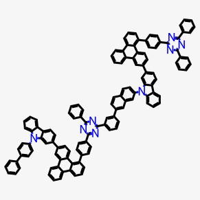 c1ccc(-c2ccc(-n3c4ccccc4c4ccc(-c5ccc6c(c5)c5ccccc5c5cccc(-c7ccc(-c8nc(-c9ccccc9)nc(-c9cccc(-c%10ccc%11ccc(-n%12c%13ccccc%13c%13ccc(-c%14ccc%15c(c%14)c%14ccccc%14c%14cccc(-c%16ccc(-c%17nc(-c%18ccccc%18)nc(-c%18ccccc%18)n%17)cc%16)c%14%15)cc%13%12)cc%11c%10)c9)n8)cc7)c56)cc43)cc2)cc1